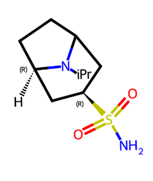 CC(C)N1C2CC[C@@H]1C[C@H](S(N)(=O)=O)C2